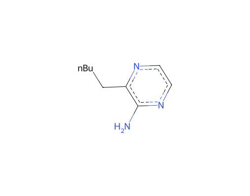 CCCCCc1nccnc1N